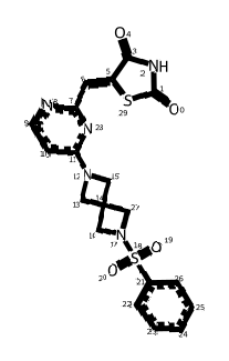 O=C1NC(=O)C(=Cc2nccc(N3CC4(C3)CN(S(=O)(=O)c3ccccc3)C4)n2)S1